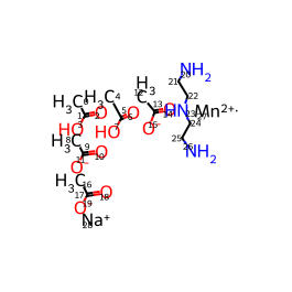 CC(=O)O.CC(=O)O.CC(=O)[O-].CC(=O)[O-].CC(=O)[O-].NCCNCCN.[Mn+2].[Na+]